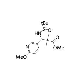 COC(=O)C(C)(C)C(N[S+]([O-])C(C)(C)C)c1ccc(OC)nc1